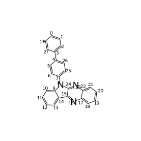 c1ccc(-c2ccc(-n3c4ccccc4c4nc5ccccc5nc43)cc2)cc1